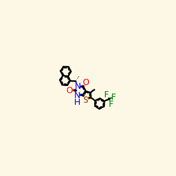 Cc1c(-c2cccc(C(F)(F)F)c2)sc2[nH]c(=O)n([C@@H](C)c3cccc4ccccc34)c(=O)c12